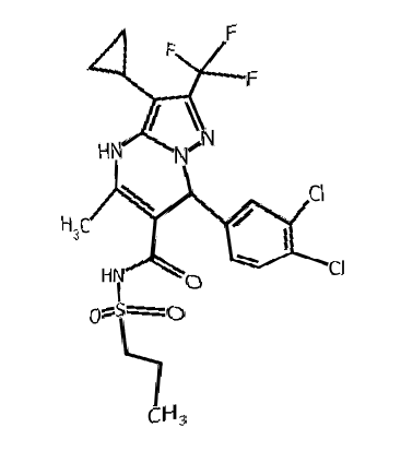 CCCS(=O)(=O)NC(=O)C1=C(C)Nc2c(C3CC3)c(C(F)(F)F)nn2C1c1ccc(Cl)c(Cl)c1